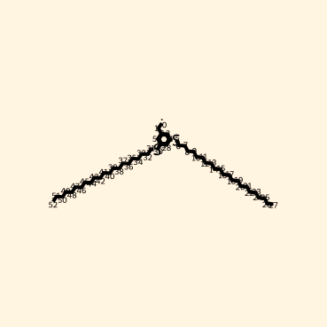 [CH2]Cc1cc(SCCCCCCCCCCCCCCCCCCCCCC)cc(SCCCCCCCCCCCCCCCCCCCCCC)c1